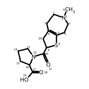 CN1CCC2=C(CC1)SC(C(=O)N1CCCC1C(=O)O)C2